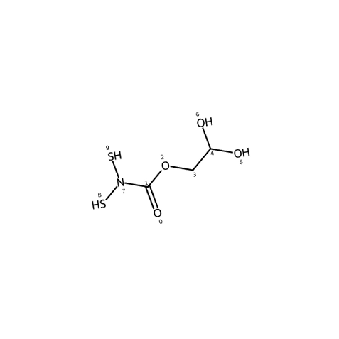 O=C(OCC(O)O)N(S)S